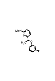 CNc1nccc(C(C)Oc2cccc(F)c2)n1